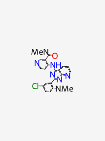 CNC(=O)c1cnccc1Nc1nc(-c2cc(Cl)ccc2NC)nc2ncccc12